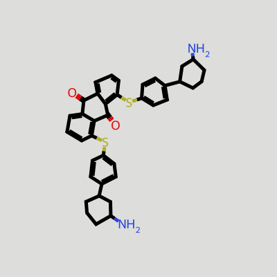 NC1CCCC(c2ccc(Sc3cccc4c3C(=O)c3c(Sc5ccc(C6CCCC(N)C6)cc5)cccc3C4=O)cc2)C1